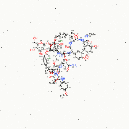 CN[C@H](CC(C)C)C(=O)N[C@H]1C(=O)N[C@@H](CC(N)=O)C(=O)N[C@H]2C(=O)N[C@H]3C(=O)N[C@H](C(=O)N[C@@H](C(=O)NOC)c4cc(O)cc(O)c4-c4cc3ccc4O)[C@H](O)c3ccc(c(Cl)c3)Oc3cc2cc(c3O[C@@H]2O[C@H](CO)[C@@H](O)[C@H](O)[C@H]2O[C@H]2C[C@](C)(NCCOC3CCN(C(=O)Nc4ccc(OC(F)(F)F)cc4)CC3)[C@H](O)[C@H](C)O2)Oc2ccc(cc2Cl)[C@H]1O